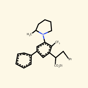 CCOC(=O)C(CC(C)C)c1cc(-c2ccccc2)cc(N2CCCCC2C)c1C(F)(F)F